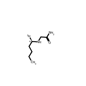 [2H][C@H](CCCC)NCC(N)=O